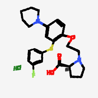 Cl.O=C(O)[C@@H]1CCCN1CCOc1ccc(N2CCCCC2)cc1Sc1cccc(F)c1